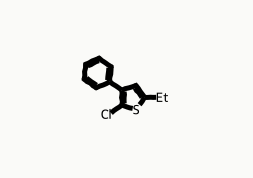 CCc1cc(-c2ccccc2)c(Cl)s1